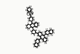 C1=Cc2c(c(-c3cccc(-c4ccc5c(-c6ccc7ccccc7c6)c6ccccc6c(-c6ccc7ccccc7c6)c5c4)c3)c3ccccc3c2C2C=CC(c3nc4ccccc4o3)=CC2)CC1